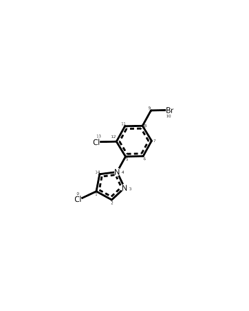 Clc1cnn(-c2ccc(CBr)cc2Cl)c1